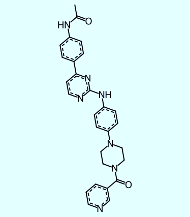 CC(=O)Nc1ccc(-c2ccnc(Nc3ccc(N4CCN(C(=O)c5cccnc5)CC4)cc3)n2)cc1